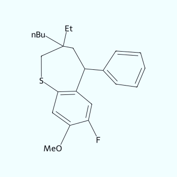 CCCCC1(CC)CSc2cc(OC)c(F)cc2C(c2ccccc2)C1